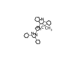 CC1(C)c2ccccc2-c2nc3ccccc3c(-c3ccc(-c4nc(-c5ccccc5)cc(-c5ccccc5)n4)cc3)c21